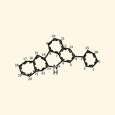 c1ccc(-c2cc3c4c(cccc4c2)-c2cc4ccccc4cc2N3)cc1